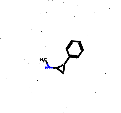 [CH2]NC1CC1c1ccccc1